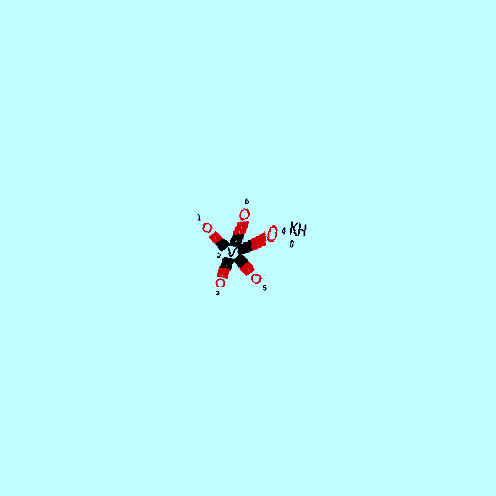 [KH].[O]=[V](=[O])(=[O])(=[O])=[O]